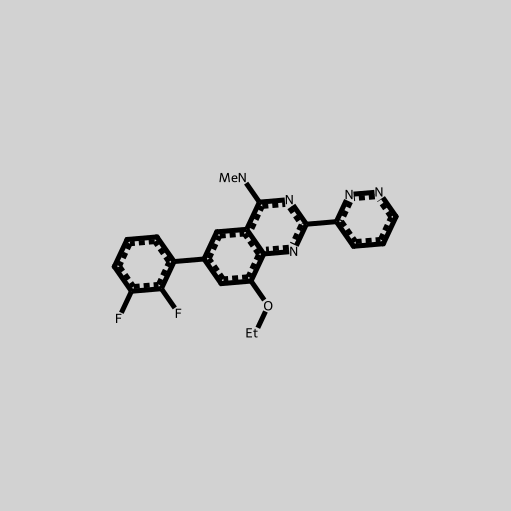 CCOc1cc(-c2cccc(F)c2F)cc2c(NC)nc(-c3cccnn3)nc12